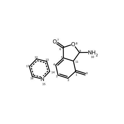 C=C1C=CC=C2C(=O)OC(N)C12.c1ccncc1